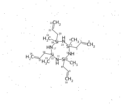 C=CC[Si]1(C)N[Si](C)(CC=C)N[Si](C)(CC=C)N[Si](C)(CC=C)N1